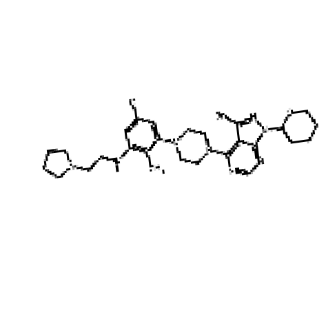 Cc1c(NCCN2CCCC2)cc(Cl)cc1N1CCN(c2ncnc3c2c(Br)nn3C2CCCCO2)CC1